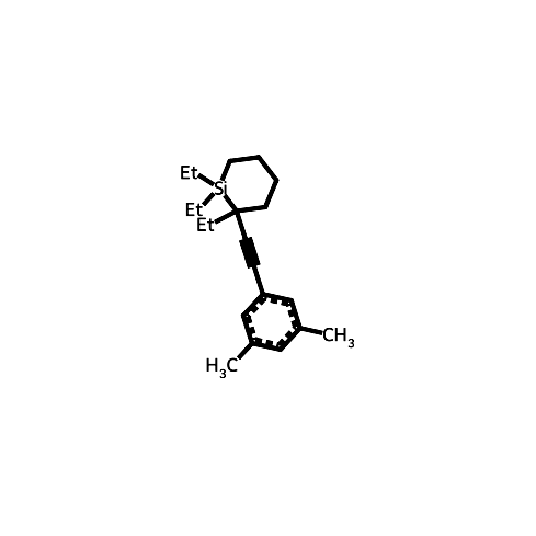 CCC1(C#Cc2cc(C)cc(C)c2)CCCC[Si]1(CC)CC